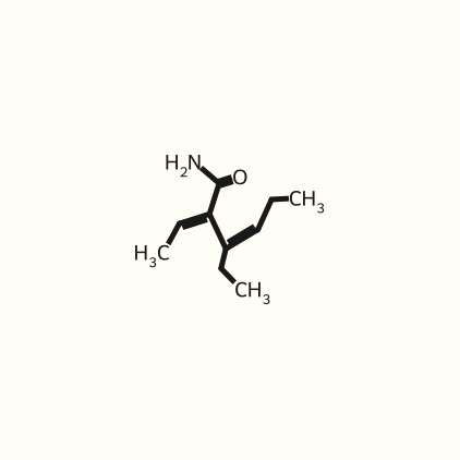 C/C=C(C(N)=O)\C(=C/CC)CC